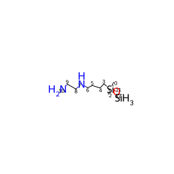 C[Si](C)(CCCCNCCN)O[SiH3]